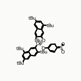 CC(C)(C)c1cc(C(C)(C)C)c2cc(OP(OC3=CCC(=S(=O)=O)C=C3)Oc3cc4c(C(C)(C)C)cc(C(C)(C)C)cc4cc3C(C)(C)C)c(C(C)(C)C)cc2c1